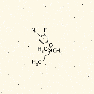 CCCC[Si](C)(C)Oc1ccc(C#N)c(F)c1